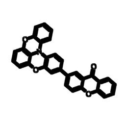 O=c1c2ccccc2oc2ccc(-c3ccc4c(c3)Oc3cccc5c3N4c3ccccc3O5)cc12